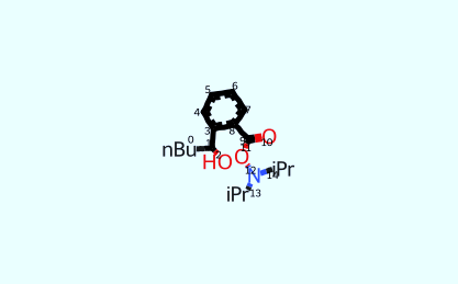 CCCCC(O)c1ccccc1C(=O)ON(C(C)C)C(C)C